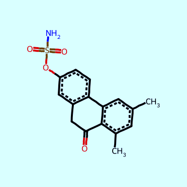 Cc1cc(C)c2c(c1)-c1ccc(OS(N)(=O)=O)cc1CC2=O